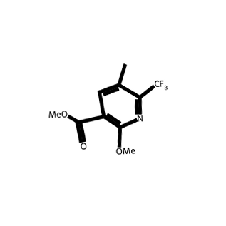 COC(=O)c1cc(C)c(C(F)(F)F)nc1OC